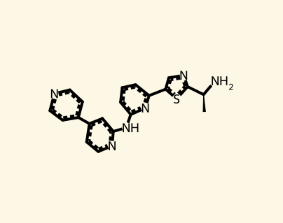 C[C@H](N)c1ncc(-c2cccc(Nc3cc(-c4ccncc4)ccn3)n2)s1